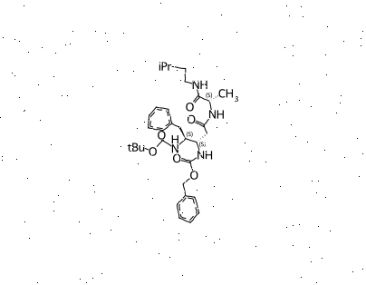 CC(C)CCNC(=O)[C@H](C)NC(=O)C[C@H](NC(=O)OCc1ccccc1)[C@H](Cc1ccccc1)NC(=O)OC(C)(C)C